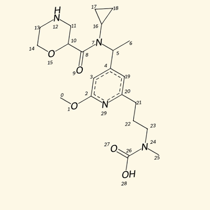 COc1cc(C(C)N(C(=O)C2CNCCO2)C2CC2)cc(CCCN(C)C(=O)O)n1